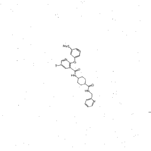 CSc1cccc(Oc2ncc(F)cc2C(=O)NC2CCC(C(=O)NCc3ccccn3)CC2)c1